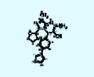 Cn1nc(C2CCCO2)c2c1OC(N)=C(C#N)C2c1ccc(-n2ccnc2)cc1